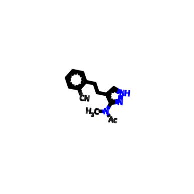 CC(=O)N(C)c1n[nH]cc1CCc1ccccc1C#N